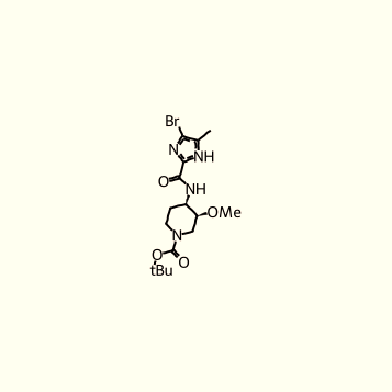 CO[C@H]1CN(C(=O)OC(C)(C)C)CC[C@H]1NC(=O)c1nc(Br)c(C)[nH]1